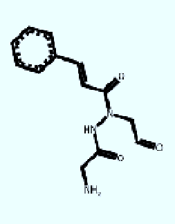 NCC(=O)NN(C[C]=O)C(=O)/C=C/c1ccccc1